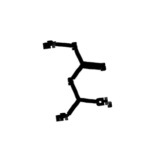 CCCSC(=S)SC(C)CCC